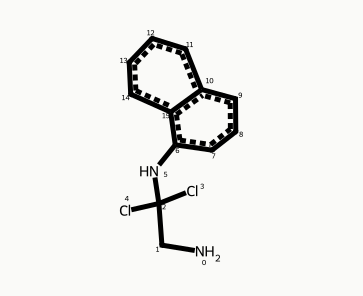 NCC(Cl)(Cl)Nc1cccc2ccccc12